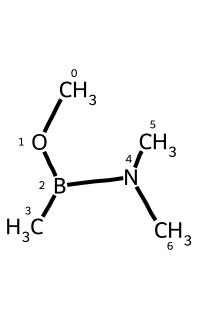 COB(C)N(C)C